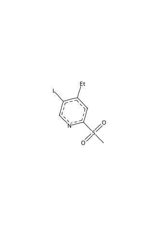 CCc1cc(S(C)(=O)=O)ncc1I